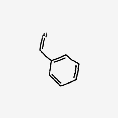 [Al]=[CH]c1ccccc1